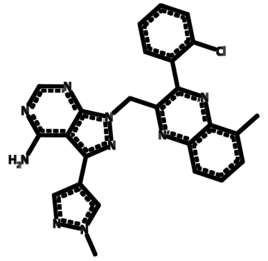 Cc1cccc2nc(Cn3nc(-c4cnn(C)c4)c4c(N)ncnc43)c(-c3ccccc3Cl)nc12